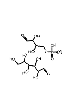 O=CC(O)C(O)C(O)C(O)CO.O=CC(O)C(O)COP(=O)(O)O